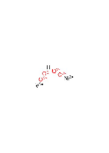 [Li+].[Ni+2].[O-2].[O-2].[O-2].[O-2].[V+5]